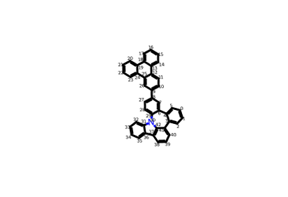 c1ccc2c(c1)-c1cc(-c3ccc4c5ccccc5c5ccccc5c4c3)ccc1-n1c3ccccc3c3cccc-2c31